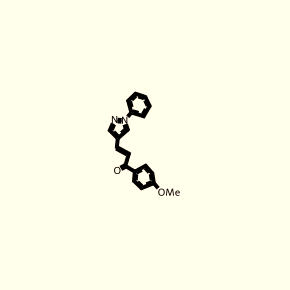 COc1ccc(C(=O)C=Cc2cnn(-c3ccccc3)c2)cc1